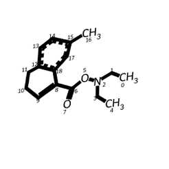 CCN(CC)OC(=O)C1=CCCc2ccc(C)cc21